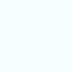 CC(C)(C)c1ccc(COc2ccccc2Oc2ccc3cnc(Cl)n3n2)cc1